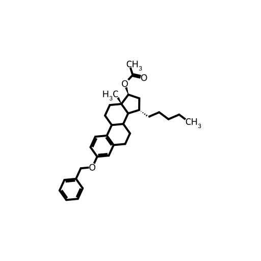 CCCCC[C@H]1C[C@H](OC(C)=O)[C@@]2(C)CCC3c4ccc(OCc5ccccc5)cc4CCC3C12